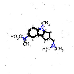 CN(C)CC1Cc2c(n(C)c3ccc(N(C)C(=O)O)cc23)C1